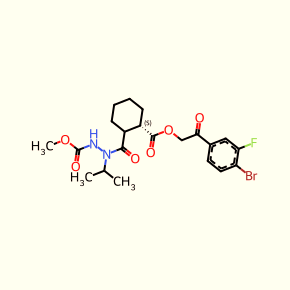 COC(=O)NN(C(=O)C1CCCC[C@@H]1C(=O)OCC(=O)c1ccc(Br)c(F)c1)C(C)C